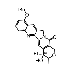 C=C1OCc2c(cc3n(c2=O)Cc2cc4c(OC(C)(C)C)cccc4nc2-3)[C@@]1(O)CC